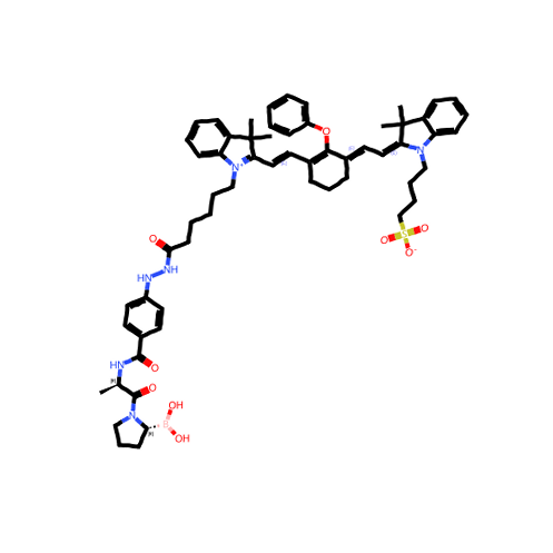 C[C@@H](NC(=O)c1ccc(NNC(=O)CCCCC[N+]2=C(/C=C/C3=C(Oc4ccccc4)C(=C/C=C4/N(CCCCS(=O)(=O)[O-])c5ccccc5C4(C)C)/CCC3)C(C)(C)c3ccccc32)cc1)C(=O)N1CCC[C@H]1B(O)O